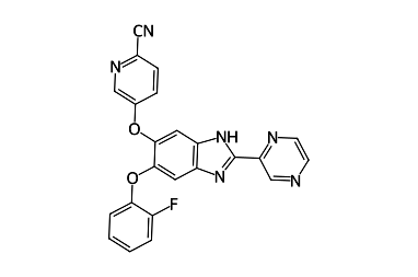 N#Cc1ccc(Oc2cc3[nH]c(-c4cnccn4)nc3cc2Oc2ccccc2F)cn1